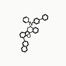 C1=CCC(N(c2ccc(-c3ccccc3)cc2)C2Cc3c(oc4c(-c5ccc6ccccc6c5)cccc34)-c3ccccc32)C=C1